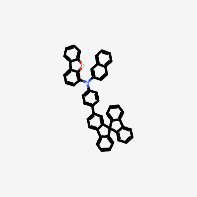 c1ccc2c(c1)-c1ccccc1C21c2ccccc2-c2ccc(-c3ccc(N(c4ccc5ccccc5c4)c4cccc5c4oc4ccccc45)cc3)cc21